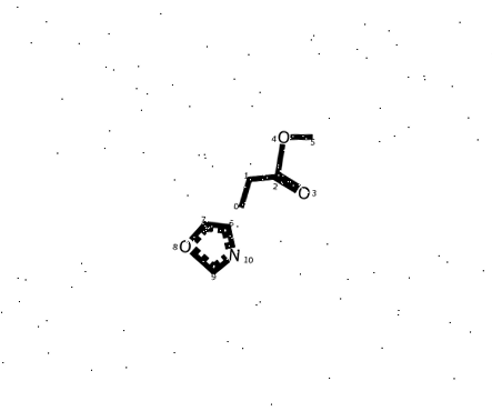 CCC(=O)OC.c1cocn1